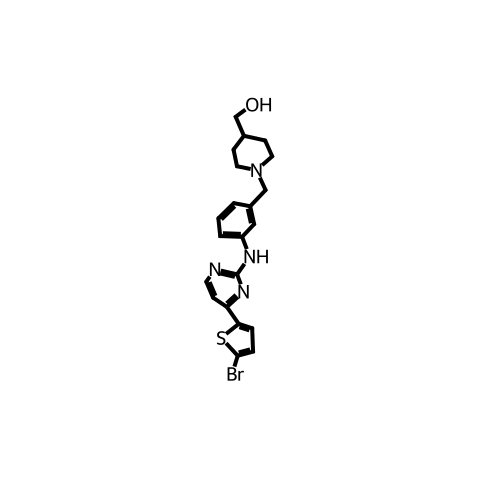 OCC1CCN(Cc2cccc(Nc3nccc(-c4ccc(Br)s4)n3)c2)CC1